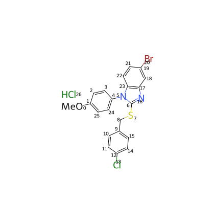 COc1ccc(-n2c(SCc3ccc(Cl)cc3)nc3cc(Br)ccc32)cc1.Cl